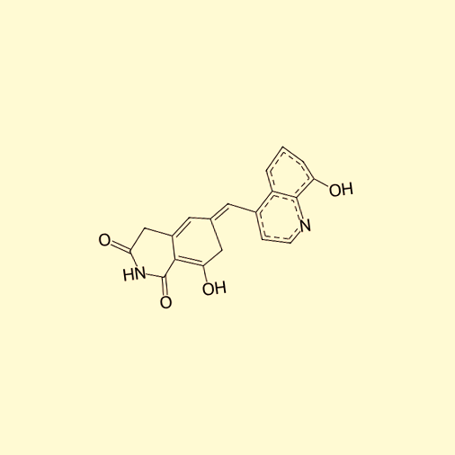 O=C1CC2=CC(=Cc3ccnc4c(O)cccc34)CC(O)=C2C(=O)N1